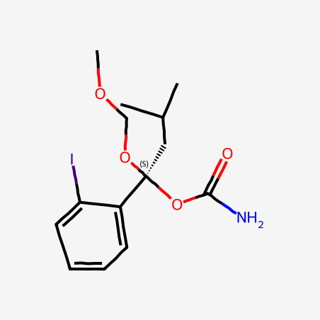 COCO[C@@](CC(C)C)(OC(N)=O)c1ccccc1I